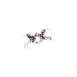 N#Cc1cccc(-c2ccc3c(c2)c2cc(-c4cccc(C#N)c4)ccc2n3-c2ccc(-c3cccc(-c4ccc(-n5c6ccc(-c7cccc(C#N)c7)cc6c6cc(-c7cccc(C#N)c7)ccc65)c(-c5nc(-c6ccccc6)nc(-c6ccccc6)n5)c4)c3)cc2-c2nc(-c3ccccc3)nc(-c3ccccc3)n2)c1